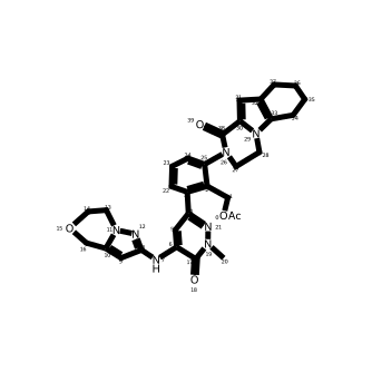 CC(=O)OCc1c(-c2cc(Nc3cc4n(n3)CCOC4)c(=O)n(C)n2)cccc1N1CCn2c(cc3c2CCCC3)C1=O